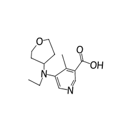 CCN(c1cncc(C(=O)O)c1C)C1CCOCC1